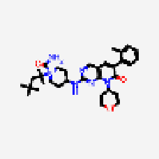 Cc1ccccc1-c1cc2cnc(NC3CC[N+](C(N)=O)(C(C)(C)CC(C)(C)C)CC3)nc2n(C2CCOCC2)c1=O